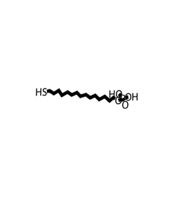 O=P(O)(O)OCCCCCCCCCCCCCCCS